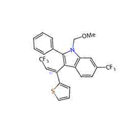 COCn1c(-c2ccccc2)c(/C(=C\C(F)(F)F)c2cccs2)c2ccc(C(F)(F)F)cc21